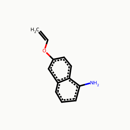 C=COc1ccc2c(N)cccc2c1